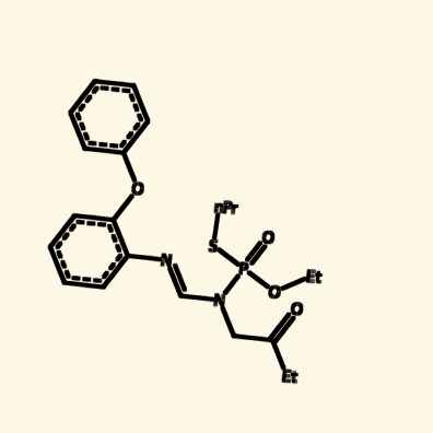 CCCSP(=O)(OCC)N(C=Nc1ccccc1Oc1ccccc1)CC(=O)CC